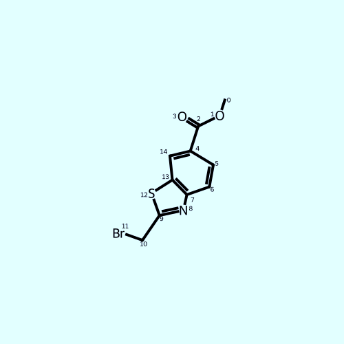 COC(=O)c1ccc2nc(CBr)sc2c1